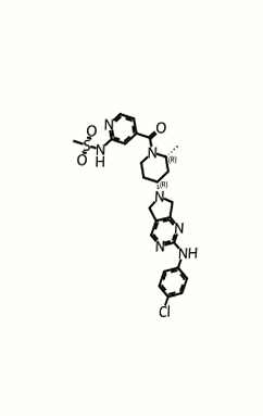 C[C@@H]1C[C@H](N2Cc3cnc(Nc4ccc(Cl)cc4)nc3C2)CCN1C(=O)c1ccnc(NS(C)(=O)=O)c1